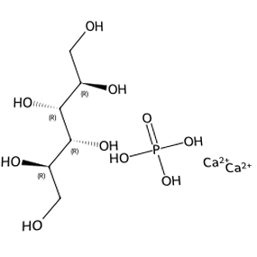 O=P(O)(O)O.OC[C@@H](O)[C@@H](O)[C@H](O)[C@H](O)CO.[Ca+2].[Ca+2]